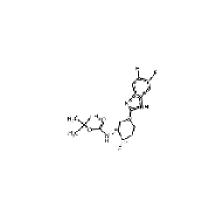 CC(C)(C)OC(=O)N[C@@H]1CN(c2nc3cc(F)c(F)cc3[nH]2)CC[C@@H]1F